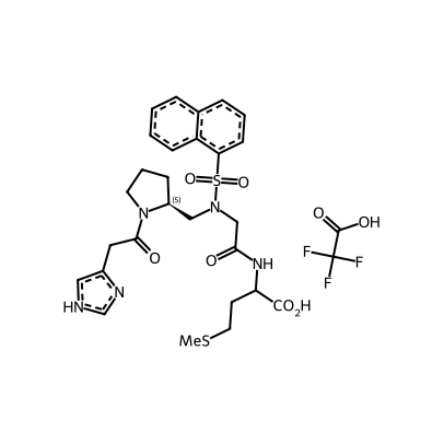 CSCCC(NC(=O)CN(C[C@@H]1CCCN1C(=O)Cc1c[nH]cn1)S(=O)(=O)c1cccc2ccccc12)C(=O)O.O=C(O)C(F)(F)F